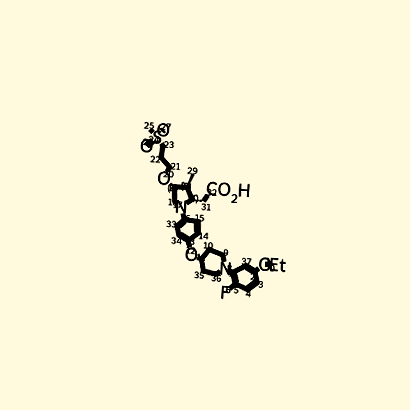 CCOc1ccc(F)c(N2CCC(Oc3ccc(N4C[C@H](OCCCS(C)(=O)=O)[C@@H](C)[C@@H]4CC(=O)O)cc3)CC2)c1